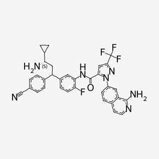 N#Cc1ccc(C(C[C@H](N)C2CC2)c2ccc(F)c(NC(=O)c3cc(C(F)(F)F)nn3-c3ccc4ccnc(N)c4c3)c2)cc1